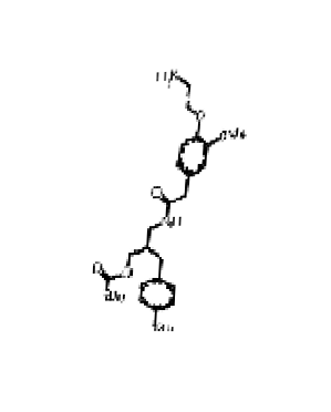 COc1cc(CC(=O)NCC(COC(=O)C(C)(C)C)Cc2ccc(C(C)(C)C)cc2)ccc1OCCN